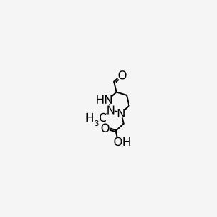 CN1NC(C=O)CCN1CC(=O)O